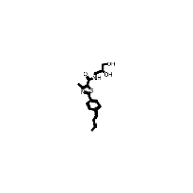 CCCCc1ccc(-c2nc(C)c(C(=O)NCC(O)CO)s2)cc1